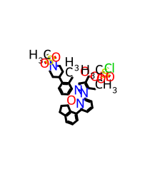 CCc1cc(O[C@H]2CCc3cccc(-c4cccc(-n5ncc(C(=O)O)c5CC)n4)c32)ccc1C1CCN(S(C)(=O)=O)CC1.CS(=O)(=O)Cl